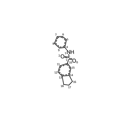 O=S(=O)(Nc1ccccc1)c1ccc2c(c1)CCC2